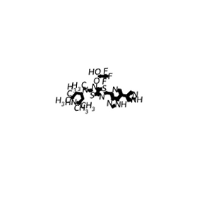 CN(c1nc2sc(-c3ncc(-c4cn[nH]c4)c4[nH]cnc34)nc2s1)C1CC(C)(C)NC(C)(C)C1.O=C(O)C(F)(F)F